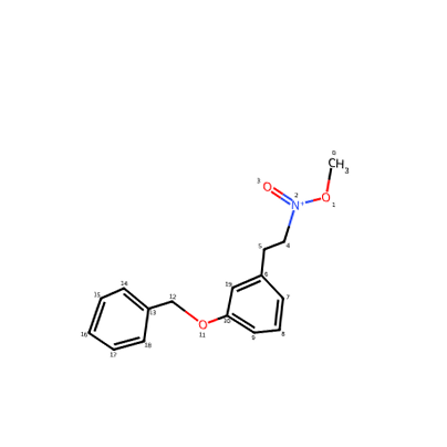 CO[N+](=O)CCc1cccc(OCc2ccccc2)c1